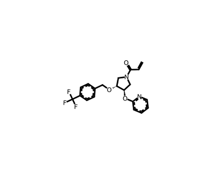 C=CC(=O)N1C[C@@H](OCc2ccc(C(F)(F)F)cc2)[C@H](Oc2ccccn2)C1